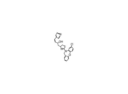 OC(/C=C\c1ccncc1)CC1CSC(N2Cc3ccccc3Oc3ccc(Cl)cc32)=N1